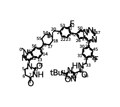 Cn1nc(N2CCC(=O)NC2=O)c2ccc(C3CCN(Cc4ccc(-c5cc6c(-c7ccc(CNC(=O)c8noc(C(C)(C)C)n8)c(F)c7)ncnn6c5)c(F)c4)CC3)cc21